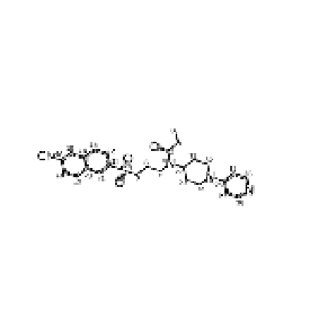 CCC(=O)N(CCCS(=O)(=O)c1ccc2cc(Cl)ccc2c1)C1CCN(c2ccncc2)CC1